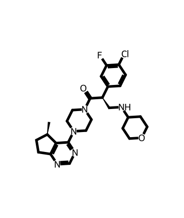 C[C@@H]1CCc2ncnc(N3CCN(C(=O)[C@H](CNC4CCOCC4)c4ccc(Cl)c(F)c4)CC3)c21